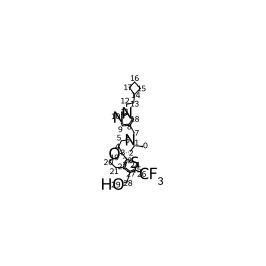 C[C@H]1C[C@@]2(CCN1Cc1cnn(CCC3CCC3)c1)OCCc1c2sc(C(F)(F)F)c1CO